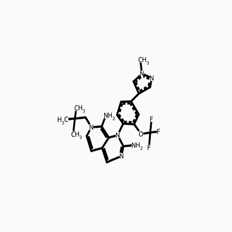 Cn1cc(-c2ccc(N3C(N)=NC=C4C=CN(CC(C)(C)C)C(N)=C43)c(OC(F)(F)F)c2)cn1